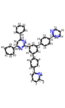 Cc1cccc(-c2ccc(-c3cc(-c4ccc(-c5ncccn5)cc4)cc(-c4nc(-c5ccccc5)cc(-c5ccccc5)n4)c3)cc2)n1